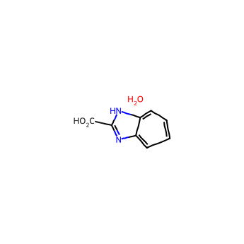 O.O=C(O)c1nc2ccccc2[nH]1